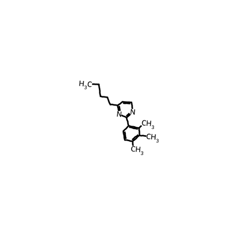 CCCCCc1ccnc(-c2ccc(C)c(C)c2C)n1